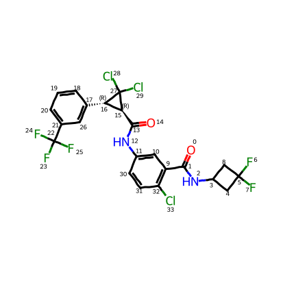 O=C(NC1CC(F)(F)C1)c1cc(NC(=O)[C@H]2[C@H](c3cccc(C(F)(F)F)c3)C2(Cl)Cl)ccc1Cl